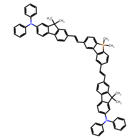 CC1(C)c2cc(/C=C/c3ccc4c(c3)-c3cc(/C=C/c5ccc6c(c5)C(C)(C)c5cc(N(c7ccccc7)c7ccccc7)ccc5-6)ccc3S4(C)C)ccc2-c2ccc(N(c3ccccc3)c3ccccc3)cc21